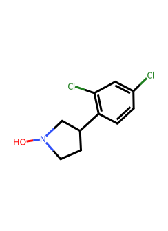 ON1CCC(c2ccc(Cl)cc2Cl)C1